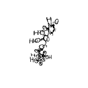 O=c1ccn([C@H]2O[C@@H](CO[PH](=O)OP(=O)(O)OP(=O)(O)O)C(O)C2O)c(=O)[nH]1